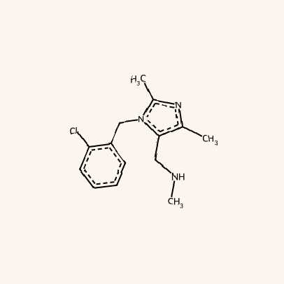 CNCc1c(C)nc(C)n1Cc1ccccc1Cl